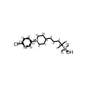 CC(C)(CCCC1CCN(c2ccc(Cl)nc2)CC1)[Si](C)(C)O